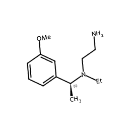 CCN(CCN)[C@@H](C)c1cccc(OC)c1